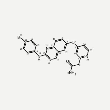 NC(=O)Cc1cc(Oc2ccc3nc(Nc4ccc(Br)cc4)ncc3c2)ccn1